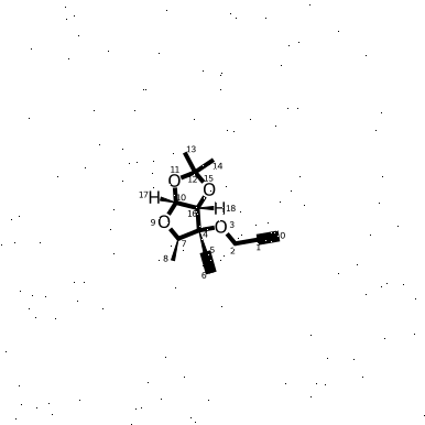 C#CCO[C@]1(C#C)[C@@H](C)O[C@@H]2OC(C)(C)O[C@@H]21